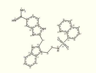 N=C(N)c1ccc2[nH]c(Cc3nc4ccccc4n3CCNS(=O)(=O)c3cccc4cccnc34)nc2c1